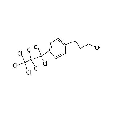 [O]CCCc1ccc(C(Cl)(Cl)C(Cl)(Cl)C(Cl)(Cl)Cl)cc1